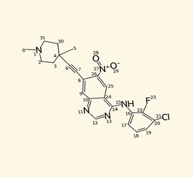 CN1CCC(C)(C#Cc2cc3ncnc(Nc4cccc(Cl)c4F)c3cc2[N+](=O)[O-])CC1